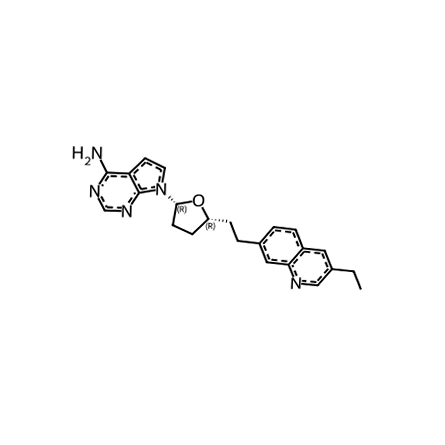 CCc1cnc2cc(CC[C@@H]3CC[C@H](n4ccc5c(N)ncnc54)O3)ccc2c1